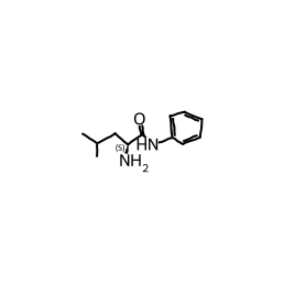 CC(C)C[C@H](N)C(=O)Nc1ccccc1